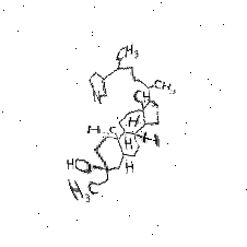 CC[C@]1(O)CC[C@@]2(C)[C@@H](CC[C@@H]3[C@@H]2CC[C@]2(C)[C@@H]([C@H](C)CC[C@H](C)C4=CN=CC4)CC[C@@H]32)C1